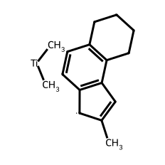 CC1=Cc2c(ccc3c2CCCC3)[CH]1.[CH3][Ti][CH3]